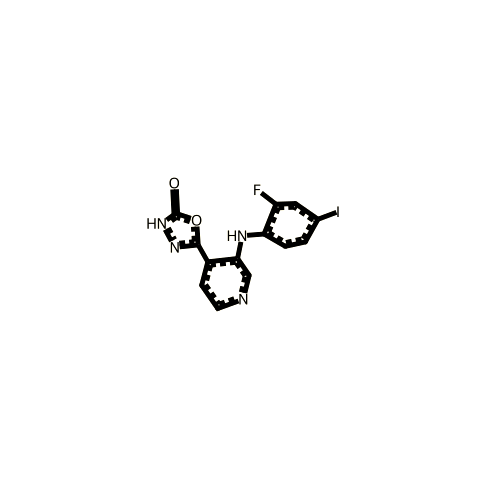 O=c1[nH]nc(-c2ccncc2Nc2ccc(I)cc2F)o1